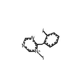 Ic1ccccc1-c1ncnc[n+]1I